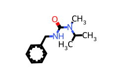 CC(C)N(C)C(=O)NCc1ccccc1